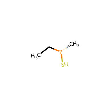 CC[P@](C)S